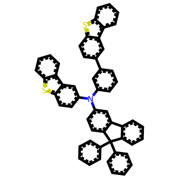 c1ccc(C2(c3ccccc3)c3ccccc3-c3cc(N(c4cccc(-c5ccc6sc7ccccc7c6c5)c4)c4ccc5sc6ccccc6c5c4)ccc32)cc1